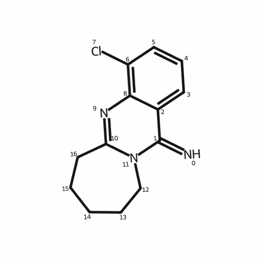 N=c1c2cccc(Cl)c2nc2n1CCCCC2